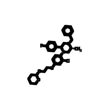 C[C@@H]1CN(c2ccc(OCCOC3CCCCO3)cc2Cl)C(c2ccc(F)cc2)CN1Cc1ccccc1